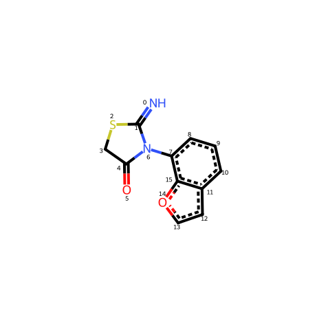 N=C1SCC(=O)N1c1cccc2ccoc12